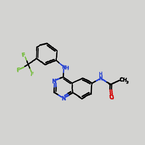 CC(=O)Nc1ccc2ncnc(Nc3cccc(C(F)(F)F)c3)c2c1